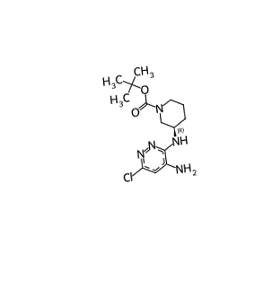 CC(C)(C)OC(=O)N1CCC[C@@H](Nc2nnc(Cl)cc2N)C1